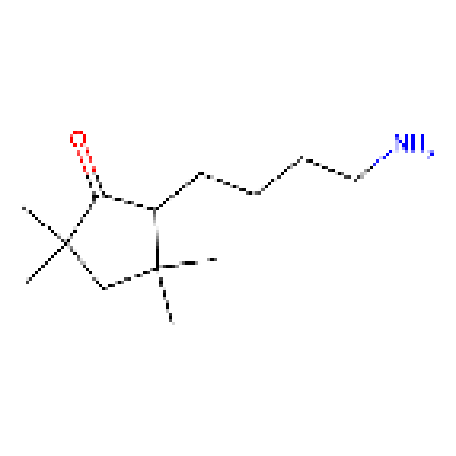 CC1(C)CC(C)(C)C(CCCCN)C1=O